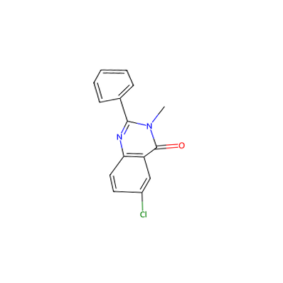 Cn1c(-c2ccccc2)nc2ccc(Cl)cc2c1=O